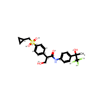 CC(O)(c1ccc(NC(=O)C(CO)c2ccc(S(=O)(=O)CC3CC3)cc2)cc1)C(F)(F)F